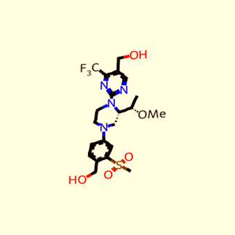 CO[C@@H](C)[C@@H]1CN(c2ccc(CO)c(S(C)(=O)=O)c2)CCN1c1ncc(CO)c(C(F)(F)F)n1